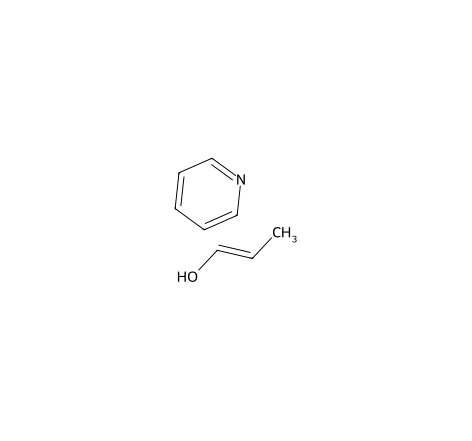 CC=CO.c1ccncc1